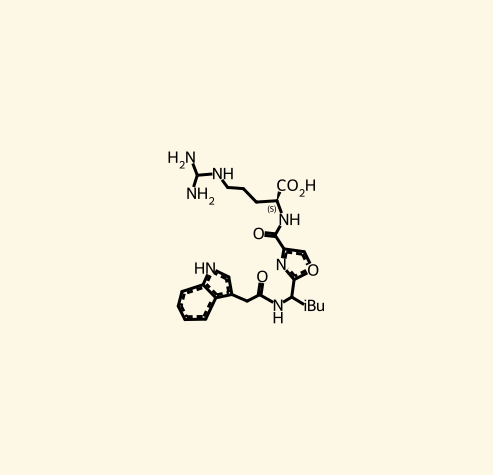 CCC(C)C(NC(=O)Cc1c[nH]c2ccccc12)c1nc(C(=O)N[C@@H](CCCNC(N)N)C(=O)O)co1